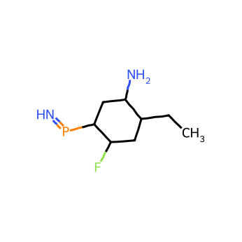 CCC1CC(F)C(P=N)CC1N